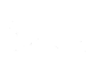 O=C(COc1ccccc1)NCc1cccc(Oc2ccc(NS(=O)(=O)c3ccc(C(=O)O)cc3)c(C(=O)O)c2)c1